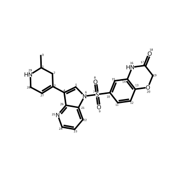 CC1CC(c2cn(S(=O)(=O)c3ccc4c(c3)NC(=O)CO4)c3cccnc23)=CCN1